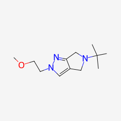 COCCn1cc2c(n1)CN(C(C)(C)C)C2